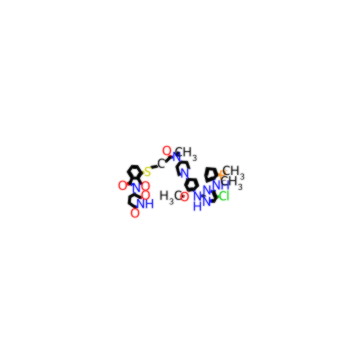 COc1cc(N2CCC(N(C)C(=O)CCCCSc3cccc4c3C(=O)N(C3CCC(=O)NC3=O)C4=O)CC2)ccc1Nc1ncc(Cl)c(Nc2ccccc2P(C)C)n1